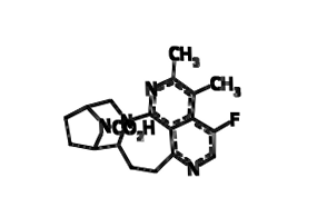 Cc1nc2c3c(ncc(F)c3c1C)CCC1C3CCC(CN21)N3C(=O)O